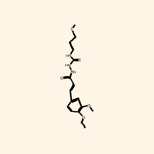 CCOc1ccc(/C=C/C(=O)NNC(=S)NCCCSC)cc1OC